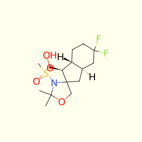 CC1(C)OCC2(C[C@@H]3CC(F)(F)CC[C@H]3[C@@H]2CO)N1S(C)(=O)=O